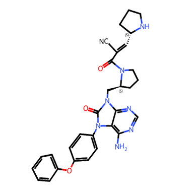 N#CC(=C[C@@H]1CCCN1)C(=O)N1CCC[C@H]1Cn1c(=O)n(-c2ccc(Oc3ccccc3)cc2)c2c(N)ncnc21